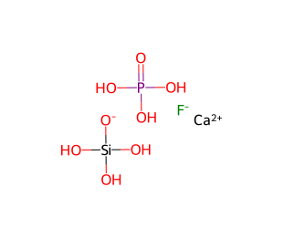 O=P(O)(O)O.[Ca+2].[F-].[O-][Si](O)(O)O